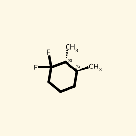 C[C@@H]1[C@@H](C)CCCC1(F)F